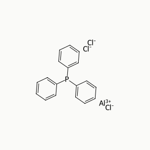 [Al+3].[Cl-].[Cl-].[Cl-].c1ccc(P(c2ccccc2)c2ccccc2)cc1